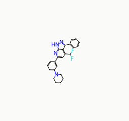 FC(F)c1cc(-c2cccc(N3CCCCC3)c2)nc2[nH]nc(-c3ccccc3)c12